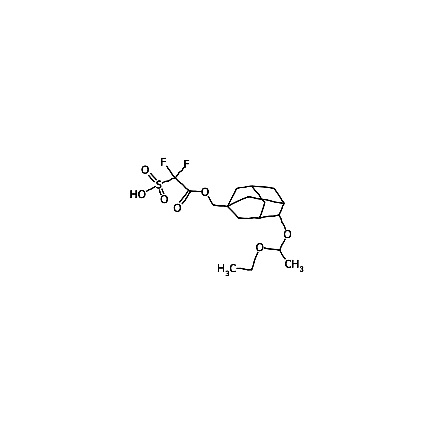 CCOC(C)OC1C2CC3CC1CC(COC(=O)C(F)(F)S(=O)(=O)O)(C3)C2